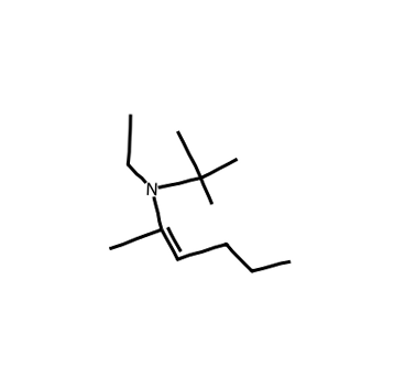 CCC/C=C(/C)N(CC)C(C)(C)C